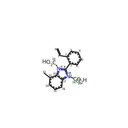 C=Cc1ccccc1-c1n(C(=O)O)c2c(C)cccc2[n+]1C(=O)O.[Cl-]